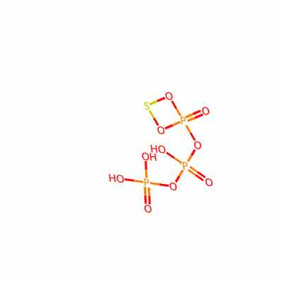 O=P(O)(O)OP(=O)(O)OP1(=O)OSO1